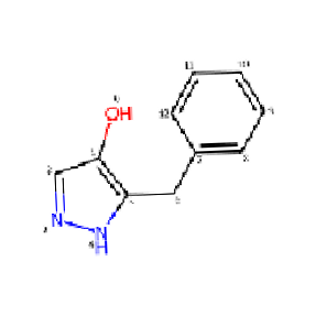 Oc1[c]n[nH]c1Cc1ccccc1